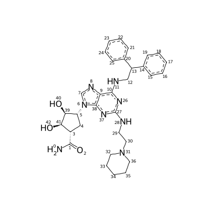 NC(=O)[C@H]1C[C@@H](n2cnc3c(NCC(c4ccccc4)c4ccccc4)nc(NCCN4CCCCC4)nc32)[C@H](O)[C@@H]1O